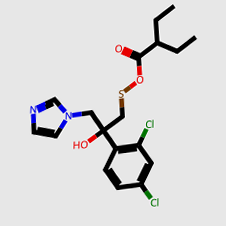 CCC(CC)C(=O)OSCC(O)(Cn1ccnc1)c1ccc(Cl)cc1Cl